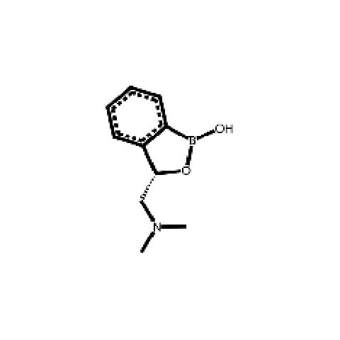 CN(C)C[C@H]1OB(O)c2ccccc21